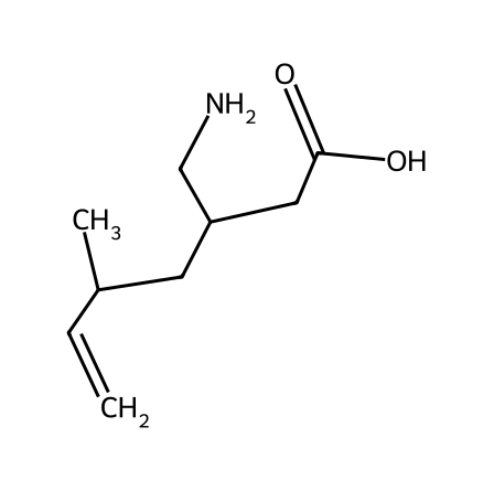 C=CC(C)CC(CN)CC(=O)O